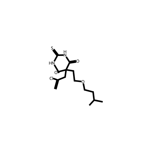 C=C(Cl)CC1(CCOCCC(C)C)C(=O)NC(=S)NC1=O